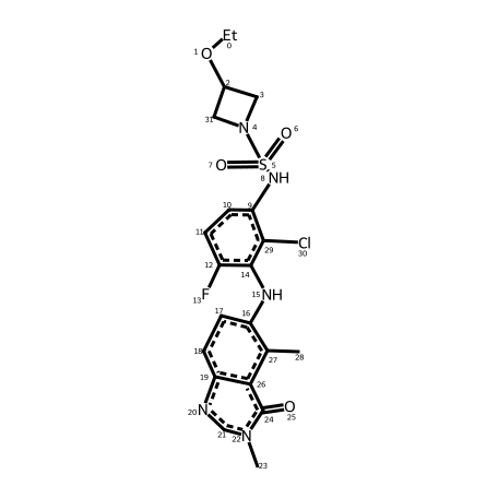 CCOC1CN(S(=O)(=O)Nc2ccc(F)c(Nc3ccc4ncn(C)c(=O)c4c3C)c2Cl)C1